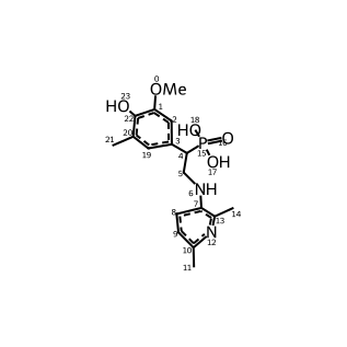 COc1cc(C(CNc2ccc(C)nc2C)P(=O)(O)O)cc(C)c1O